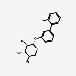 O[C@@H]1[C@@H](O)[C@H](Oc2cccc(-c3ncccc3F)c2)SC[C@H]1O